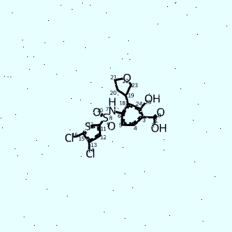 O=C(O)c1ccc(NS(=O)(=O)c2cc(Cl)c(Cl)s2)c(C2CCOC2)c1O